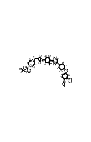 CC(C)(C)OC(=O)N1CCN(CC2CN(c3ccc(-c4ncc([C@H]5CC[C@H](OC6=CCC(C#N)C(Cl)=C6)CC5)[nH]4)cc3)C2)CC1